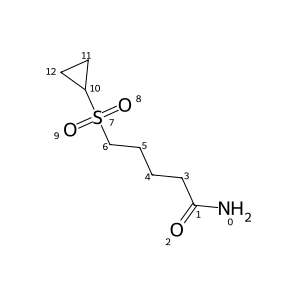 NC(=O)CCCCS(=O)(=O)C1CC1